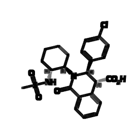 CS(=O)(=O)N[C@@H]1CCCC[C@H]1N1C(=O)c2ccccc2[C@@H](C(=O)O)[C@@H]1c1ccc(Cl)cc1